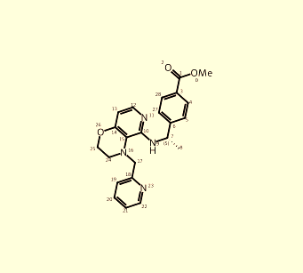 COC(=O)c1ccc([C@H](C)Nc2nccc3c2N(Cc2ccccn2)CCO3)cc1